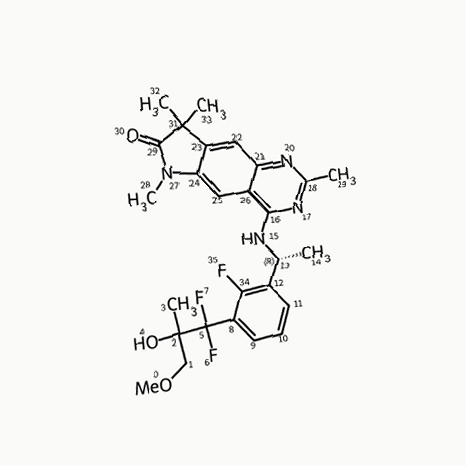 COCC(C)(O)C(F)(F)c1cccc([C@@H](C)Nc2nc(C)nc3cc4c(cc23)N(C)C(=O)C4(C)C)c1F